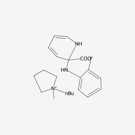 CCCC[N+]1(C)CCCC1.O=C([O-])C1(Nc2ccccc2F)C=CC=CN1